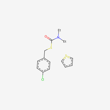 CCN(CC)C(=O)SCc1ccc(Cl)cc1.c1ccsc1